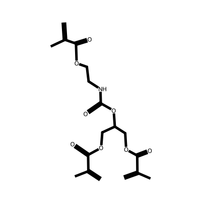 C=C(C)C(=O)OCCNC(=O)OC(COC(=O)C(=C)C)COC(=O)C(=C)C